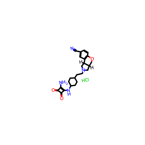 Cl.N#Cc1ccc2c(c1)[C@@H]1CN(CCC3CCC(Nc4c(N)c(=O)c4=O)CC3)C[C@H]1CO2